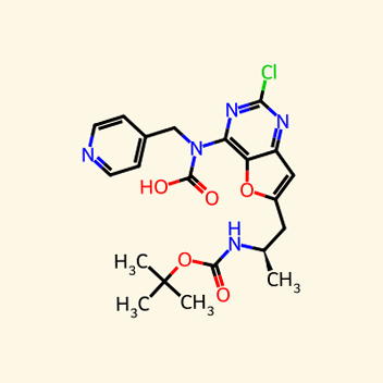 C[C@H](Cc1cc2nc(Cl)nc(N(Cc3ccncc3)C(=O)O)c2o1)NC(=O)OC(C)(C)C